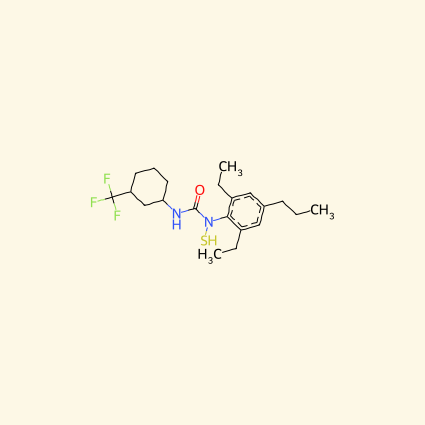 CCCc1cc(CC)c(N(S)C(=O)NC2CCCC(C(F)(F)F)C2)c(CC)c1